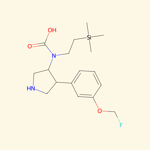 C[Si](C)(C)CCN(C(=O)O)C1CNCC1c1cccc(OCF)c1